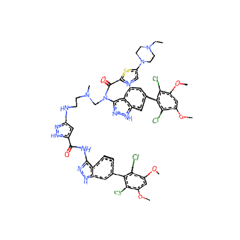 CCN1CCN(c2cnc(C(=O)N(CN(C)CCNc3cc(C(=O)Nc4n[nH]c5cc(-c6c(Cl)c(OC)cc(OC)c6Cl)ccc45)[nH]n3)c3n[nH]c4cc(-c5c(Cl)c(OC)cc(OC)c5Cl)ccc34)s2)CC1